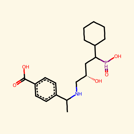 CC(NC[C@@H](O)CC(C1CCCCC1)[PH](=O)O)c1ccc(C(=O)O)cc1